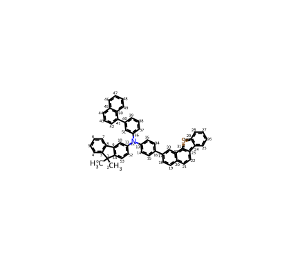 CC1(C)c2ccccc2-c2cc(N(c3ccc(-c4ccc5ccc6c7ccccc7sc6c5c4)cc3)c3cccc(-c4cccc5ccccc45)c3)ccc21